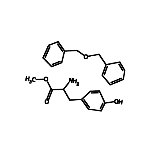 COC(=O)C(N)Cc1ccc(O)cc1.c1ccc(COCc2ccccc2)cc1